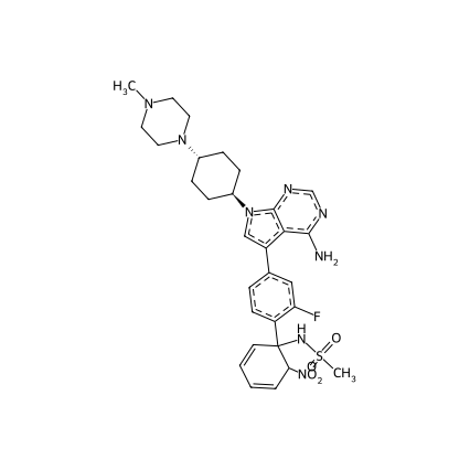 CN1CCN([C@H]2CC[C@H](n3cc(-c4ccc(C5(NS(C)(=O)=O)C=CC=CC5[N+](=O)[O-])c(F)c4)c4c(N)ncnc43)CC2)CC1